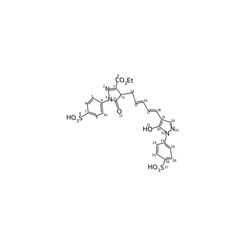 CCOC(=O)C1=NN(c2ccc(S(=O)(=O)O)cc2)C(=O)C1CC=CC=Cc1cnn(-c2ccc(S(=O)(=O)O)cc2)c1O